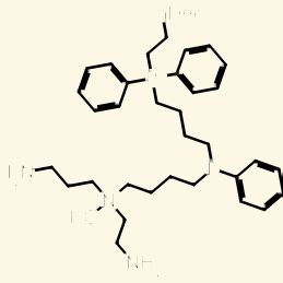 CCCCCCCCCCCC[P+](CCCCP(CCCC[N+](C)(CCN)CCCN)c1ccccc1)(c1ccccc1)c1ccccc1